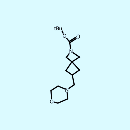 CC(C)(C)OC(=O)N1CC2(CC(CN3CCOCC3)C2)C1